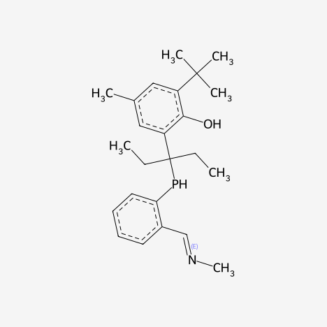 CCC(CC)(Pc1ccccc1/C=N/C)c1cc(C)cc(C(C)(C)C)c1O